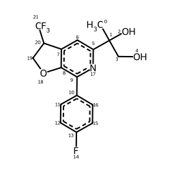 CC(O)(CO)c1cc2c(c(-c3ccc(F)cc3)n1)OCC2C(F)(F)F